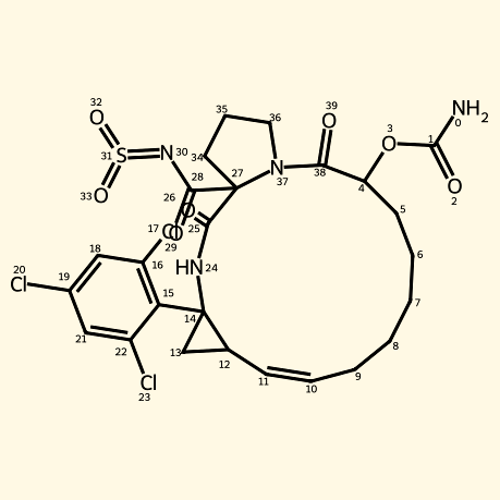 NC(=O)OC1CCCCCC=CC2CC2(c2c(Cl)cc(Cl)cc2Cl)NC(=O)C2(C(=O)N=S(=O)=O)CCCN2C1=O